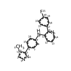 Cn1cnnc1-c1ccc(Nc2cccnc2-c2ccc(F)cc2)cc1